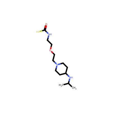 CC(C)NC1CCN(CCOCCNC(=O)S)CC1